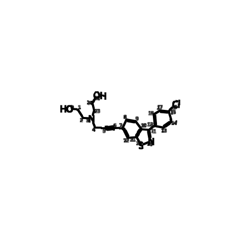 OCCN(CC#Cc1ccc2c(-c3ccc(Cl)cc3)nsc2c1)CCO